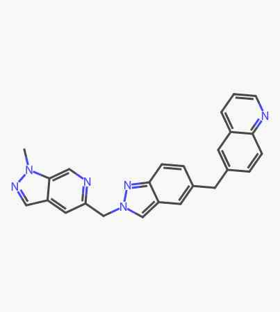 Cn1ncc2cc(Cn3cc4cc(Cc5ccc6ncccc6c5)ccc4n3)ncc21